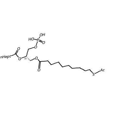 CCCCCCCC(=O)O[C@@H](COC(=O)CCCCCCCCCSC(C)=O)COP(=O)(O)O